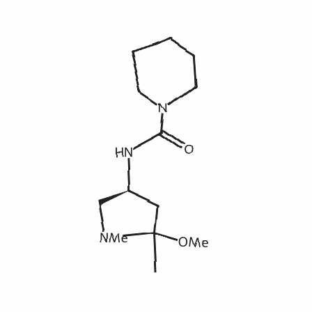 CNC[C@H](CC(C)(C)OC)NC(=O)N1CCCCC1